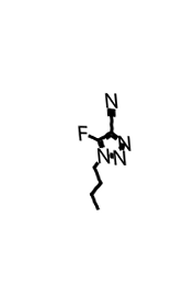 CCCCn1nnc(C#N)c1F